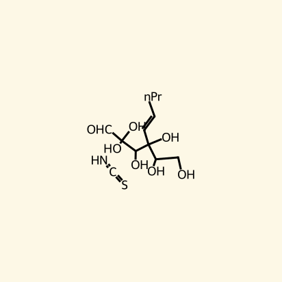 CCCC=CC(O)(C(O)CO)C(O)C(O)(O)C=O.N=C=S